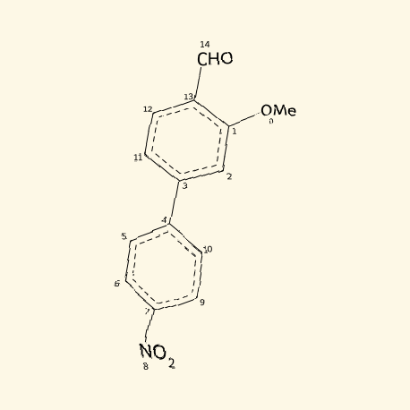 COc1cc(-c2ccc([N+](=O)[O-])cc2)ccc1C=O